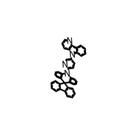 c1ccc2c(c1)-c1ccccc1C21c2ccccc2N(c2ccc(-n3c4ccccc4c4ncccc43)cn2)c2ccccc21